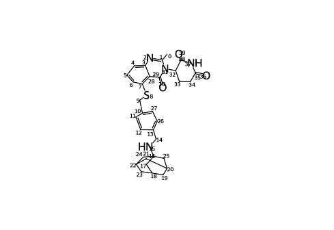 Cc1nc2cccc(SCc3ccc(CNC45CC6CC(CC(C6)C4)C5)cc3)c2c(=O)n1C1CCC(=O)NC1=O